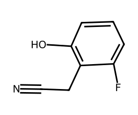 N#CCc1c(O)cccc1F